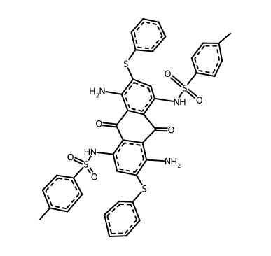 Cc1ccc(S(=O)(=O)Nc2cc(Sc3ccccc3)c(N)c3c2C(=O)c2c(N)c(Sc4ccccc4)cc(NS(=O)(=O)c4ccc(C)cc4)c2C3=O)cc1